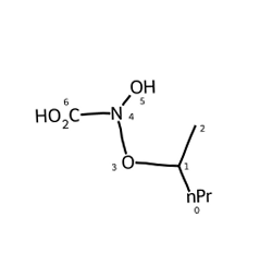 CCCC(C)ON(O)C(=O)O